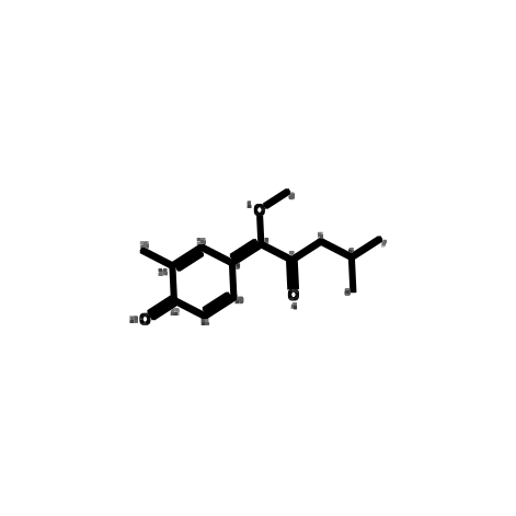 CO/C(C(=O)CC(C)C)=C1/C=CC(=O)C(C)=C1